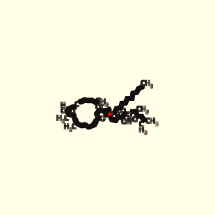 C=C(COC(=O)C(O)C/C=C\CC1OC2/C=C/C/C=C/C(C)=C\C3OC(C/C=C/C=C/C(=O)OC(C2)C1(C)COC(=O)CCCCCCCCCCC)CC(C)C3C)C(O)CC(C)C